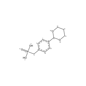 O=P(O)(O)Cc1ccc(C2OCCCO2)cc1